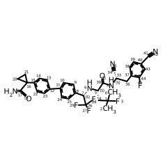 CC(C)(F)C[C@H](N[C@@H](c1ccc(-c2ccc(C3(C(N)=O)CC3)cc2)cc1)C(F)(F)F)C(=O)N[C@H](C#N)Cc1ccc(C#N)cc1F